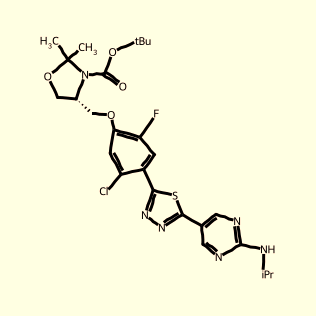 CC(C)Nc1ncc(-c2nnc(-c3cc(F)c(OC[C@@H]4COC(C)(C)N4C(=O)OC(C)(C)C)cc3Cl)s2)cn1